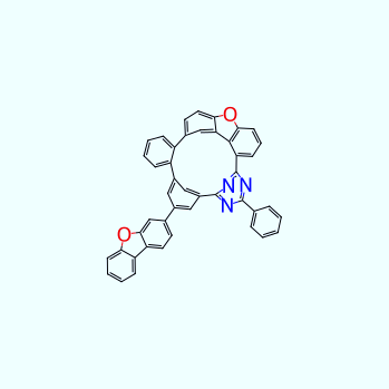 c1ccc(-c2nc3nc(n2)c2cccc4oc5ccc(cc5c42)c2ccccc2c2cc(-c4ccc5c(c4)oc4ccccc45)cc3c2)cc1